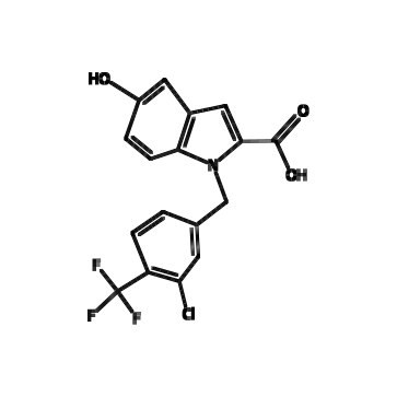 O=C(O)c1cc2cc(O)ccc2n1Cc1ccc(C(F)(F)F)c(Cl)c1